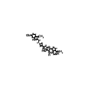 CN1c2ccc(C(C)(C)C)cc2NC1CC[C@H]1C[C@H](N(C)C[C@H]2O[C@@H](N3CCC4C(N)NCNC43)[C@H](O)[C@@H]2O)C1